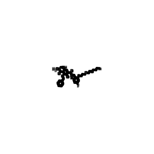 CN1CNn2cc(C(=O)NCc3ccc(F)cc3OCCCOCCOCCCBr)c(=O)c(OCc3ccccc3)c2C1=O